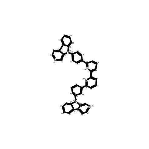 c1cc(-c2cccc(-c3cccc(-c4ccc(-n5c6ccccc6c6ccncc65)cc4)n3)n2)cc(-n2c3ccccc3c3ccncc32)c1